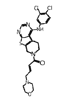 O=C(C=CCN1CCOCC1)N1CCc2c(sc3ncnc(Nc4ccc(Cl)c(Cl)c4)c23)C1